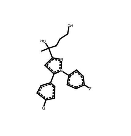 CC(O)(CCCO)c1cc(-c2ccc(Cl)cc2)n(-c2ccc(F)cc2)n1